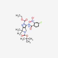 CCOC(=O)n1nc2c(c1NC(=O)c1ccc(F)cc1[N+](=O)[O-])CN(C(=O)OC(C)(C)C)C2(C)C